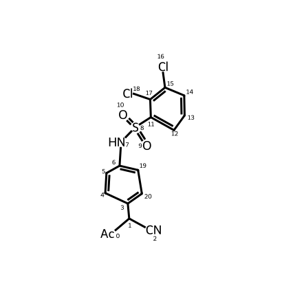 CC(=O)C(C#N)c1ccc(NS(=O)(=O)c2cccc(Cl)c2Cl)cc1